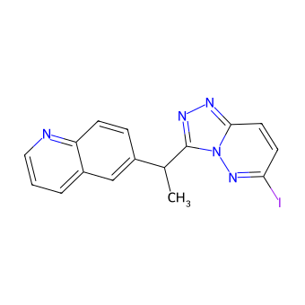 CC(c1ccc2ncccc2c1)c1nnc2ccc(I)nn12